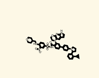 O=C(NS(=O)(=O)c1ccc(NCC2CCOCC2)c([N+](=O)[O-])c1)c1ccc(-c2ccc(N3CCCC3c3ccccc3C3CC3)cc2)cc1N1CCOc2nc3[nH]ccc3cc21